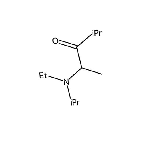 CCN(C(C)C)C(C)C(=O)C(C)C